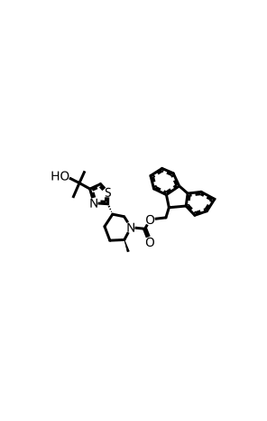 C[C@H]1CC[C@H](c2nc(C(C)(C)O)cs2)CN1C(=O)OCC1c2ccccc2-c2ccccc21